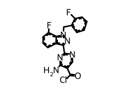 Nc1nc(-c2nn(Cc3ccccc3F)c3c(F)cccc23)ncc1C(=O)Cl